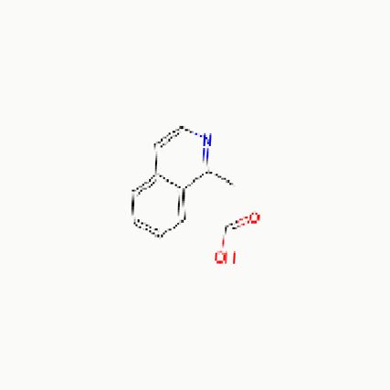 Cc1nccc2ccccc12.O=CO